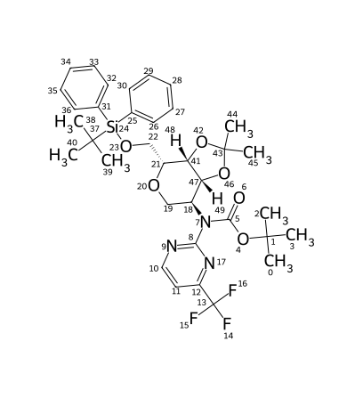 CC(C)(C)OC(=O)N(c1nccc(C(F)(F)F)n1)[C@H]1CO[C@H](CO[Si](c2ccccc2)(c2ccccc2)C(C)(C)C)[C@@H]2OC(C)(C)O[C@@H]21